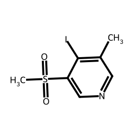 Cc1cncc(S(C)(=O)=O)c1I